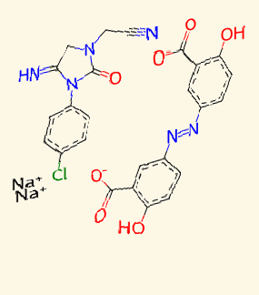 N#CCN1CC(=N)N(c2ccc(Cl)cc2)C1=O.O=C([O-])c1cc(N=Nc2ccc(O)c(C(=O)[O-])c2)ccc1O.[Na+].[Na+]